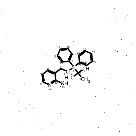 CC(C)(C)[Si](OCc1cccnc1N)(c1ccccc1)c1ccccc1